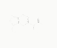 C=C(C)N(C)c1cc2c(cn1)ncn2C